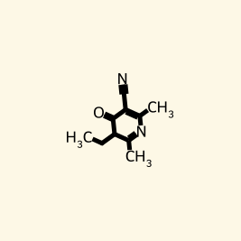 CCC1C(=O)C(C#N)=C(C)N=C1C